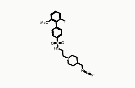 COc1cccc(F)c1-c1ccc(S(=O)(=O)NCCN2CCC(CN=[N+]=[N-])CC2)cc1